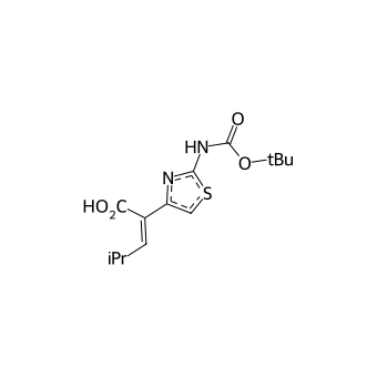 CC(C)C=C(C(=O)O)c1csc(NC(=O)OC(C)(C)C)n1